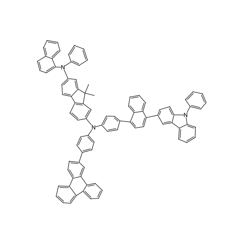 CC1(C)c2cc(N(c3ccc(-c4ccc5c6ccccc6c6ccccc6c5c4)cc3)c3ccc(-c4ccc(-c5ccc6c(c5)c5ccccc5n6-c5ccccc5)c5ccccc45)cc3)ccc2-c2ccc(N(c3ccccc3)c3cccc4ccccc34)cc21